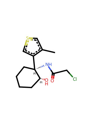 Cc1cscc1[C@]1(NC(=O)CCl)CCCC[C@H]1O